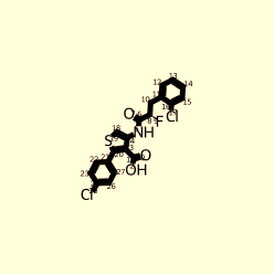 O=C(O)c1c(NC(=O)[C@@H](F)Cc2ccccc2Cl)csc1-c1ccc(Cl)cc1